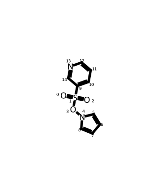 O=S(=O)(On1cccc1)c1cccnc1